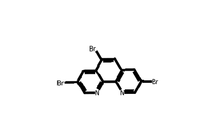 Brc1cnc2c(c1)cc(Br)c1cc(Br)cnc12